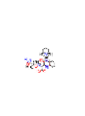 CC(C)(O/N=C(\C(=O)O)c1nc2ccccc2n([C@H]2C[C@H]3CCC[C@@H](C2)N3C2CC3CCCC(C3)C2)c1=O)C(N)=O